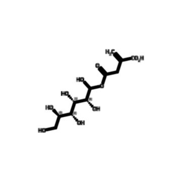 C=C(CC(=O)OC(O)[C@H](O)[C@@H](O)[C@H](O)[C@H](O)CO)C(=O)O